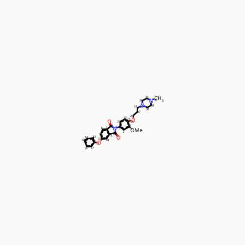 COc1cc(N2C(=O)c3ccc(Oc4ccccc4)cc3C2=O)ccc1OCCCN1CCN(C)CC1